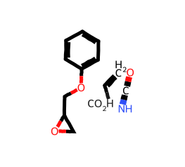 C=CC(=O)O.N=C=O.c1ccc(OCC2CO2)cc1